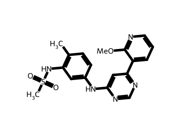 COc1ncccc1-c1cc(Nc2ccc(C)c(NS(C)(=O)=O)c2)ncn1